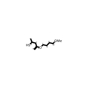 C=C(CC(C)S)OCCCCOC